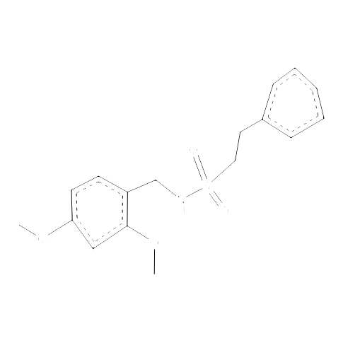 COc1ccc(CNS(=O)(=O)CCc2ccccc2)c(OC)c1